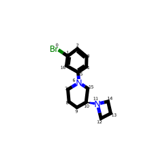 Brc1cccc(N2CCC[C@H](N3CCC3)C2)c1